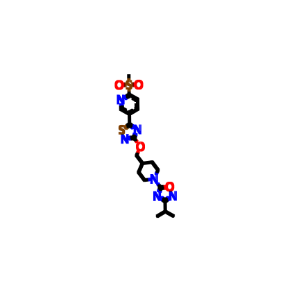 CC(C)c1noc(N2CCC(COc3nsc(-c4ccc(S(C)(=O)=O)nc4)n3)CC2)n1